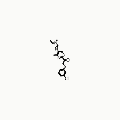 CCN(C)C=Nc1cnc(C(=O)CSc2cccc(Cl)c2)nc1C